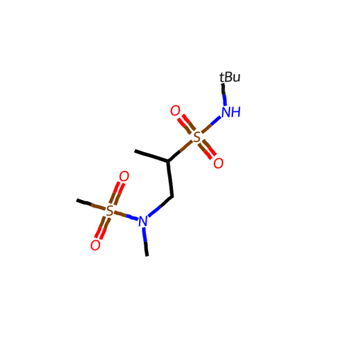 CC(CN(C)S(C)(=O)=O)S(=O)(=O)NC(C)(C)C